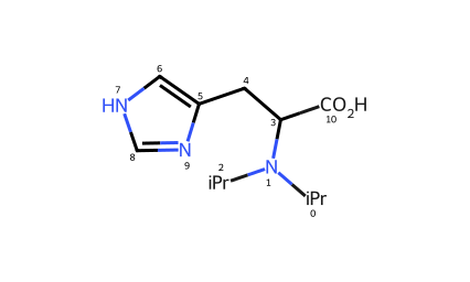 CC(C)N(C(C)C)C(Cc1c[nH]cn1)C(=O)O